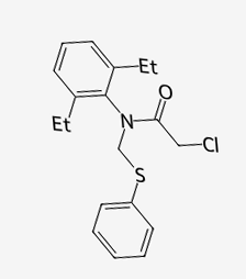 CCc1cccc(CC)c1N(CSc1ccccc1)C(=O)CCl